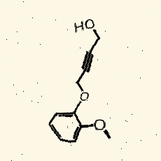 COc1ccccc1OCC#CCO